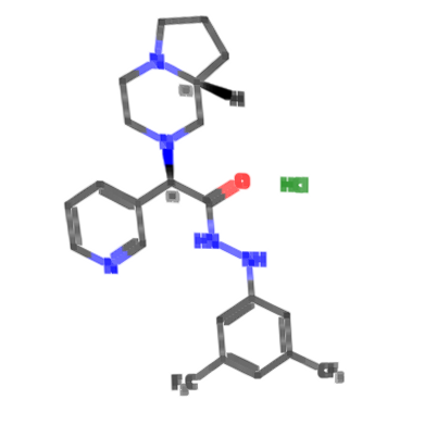 Cl.O=C(NNc1cc(C(F)(F)F)cc(C(F)(F)F)c1)[C@@H](c1cccnc1)N1CCN2CCC[C@@H]2C1